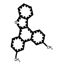 Cc1ccc2c(c1)c1cc(C)ccc1c1c3ccccc3oc21